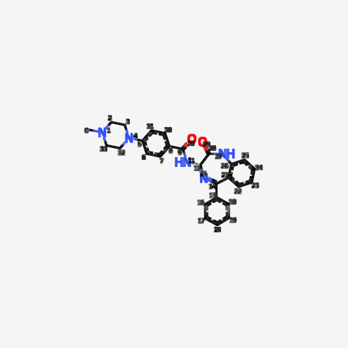 CN1CCN(c2ccc(C(=O)N[C@H]3N=C(c4ccccc4)c4ccccc4NC3=O)cc2)CC1